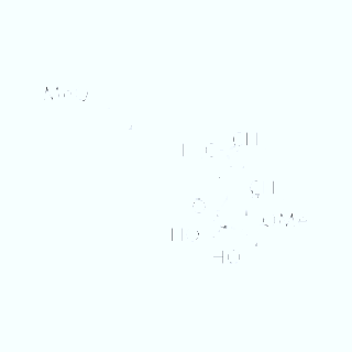 COCCCCCCCCCCOc1c(CC=C(C)C)c(C)c(OC)c(CO)c1CO